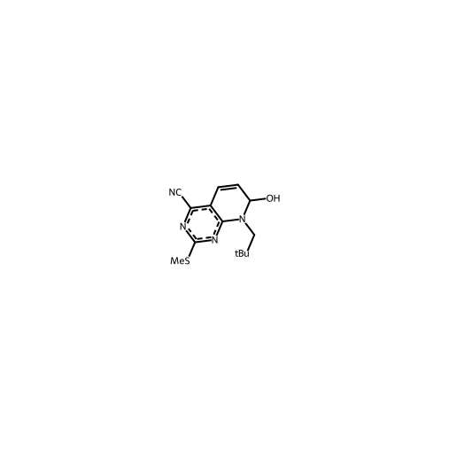 CSc1nc(C#N)c2c(n1)N(CC(C)(C)C)C(O)C=C2